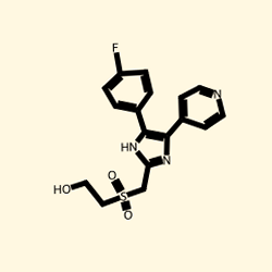 O=S(=O)(CCO)Cc1nc(-c2ccncc2)c(-c2ccc(F)cc2)[nH]1